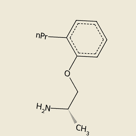 CCCc1ccccc1OC[C@H](C)N